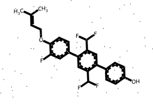 CC(C)=CCOc1ccc(-c2cc(C(F)F)c(-c3ccc(O)cc3)cc2C(F)F)cc1F